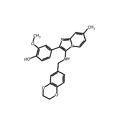 COc1cc(-c2nc3cc(C)ccn3c2NCc2ccc3c(c2)OCCO3)ccc1O